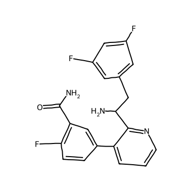 NC(=O)c1cc(-c2cccnc2C(N)Cc2cc(F)cc(F)c2)ccc1F